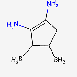 BC1CC(N)=C(N)C1B